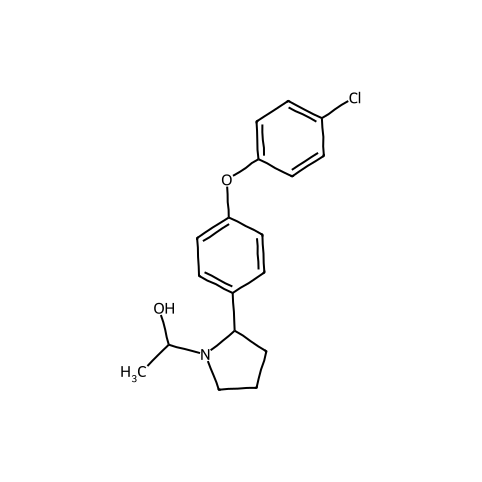 CC(O)N1CCCC1c1ccc(Oc2ccc(Cl)cc2)cc1